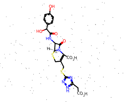 O=C(O)Cc1nc(SCC2=C(C(=O)O)N3C(=O)C(NC(=O)C(O)c4ccc(O)cc4)[C@@H]3SC2)n[nH]1